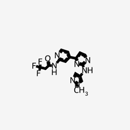 Cn1cc(Nc2nccc(-c3ccnc(NC(=O)CC(F)(F)F)c3)n2)cn1